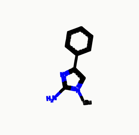 CC(C)(C)n1cc(-c2ccccc2)nc1N